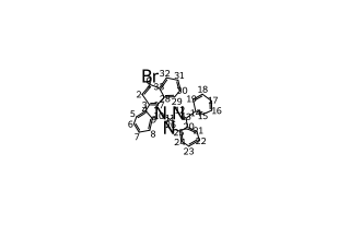 Brc1cc2c3ccccc3n(-c3nc(-c4ccccc4)c4ccccc4n3)c2c2ccccc12